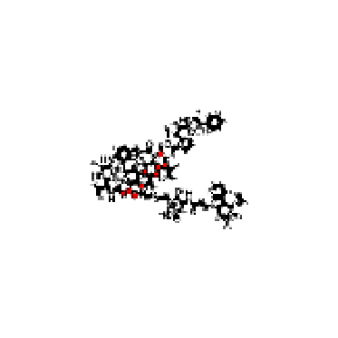 CC[C@H](C)[C@@H]([C@@H](CC(=O)N1CCC[C@H]1[C@H](OC)[C@@H](C)C(=O)N[C@H](C)[C@@H](O)c1ccccc1)OC)N(C)C(=O)[C@@H](NC(=O)[C@H](C(C)C)N(C)C(=O)OCc1ccc(NC(=O)[C@H](C)NC(=O)[C@@H](NC(=O)CCOCCOCCNC(=O)[C@H](CS(=O)(=O)O)NC(=O)CCn2c3c(c4cccnc42)C(N2CC2)N(C)N(C)C3)C(C)C)c(O[C@@H]2O[C@H](C(=O)O)[C@@H](O)[C@H](O)[C@H]2O)c1)C(C)C